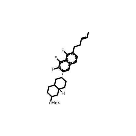 C/C=C/CCc1ccc2cc([C@@H]3CC[C@@H]4CC(CCCCCC)CCC4C3)c(F)c(F)c2c1F